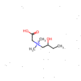 CCC(O)C[N+](C)(C)CC(=O)O